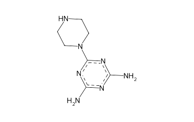 Nc1nc(N)nc(N2CCNCC2)n1